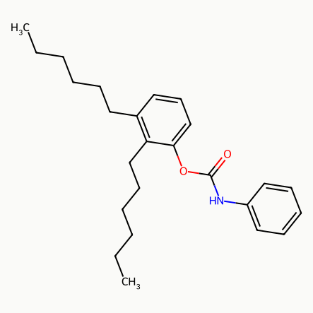 CCCCCCc1cccc(OC(=O)Nc2ccccc2)c1CCCCCC